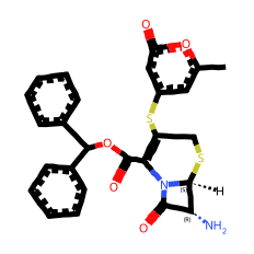 Cc1cc(SC2=C(C(=O)OC(c3ccccc3)c3ccccc3)N3C(=O)[C@@H](N)[C@@H]3SC2)cc(=O)o1